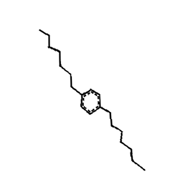 CCCCCCCc1ccc(CCCCCCC)cc1